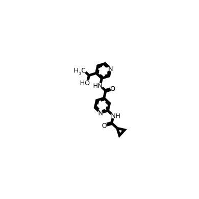 CC(O)c1ccncc1NC(=O)c1ccnc(NC(=O)C2CC2)c1